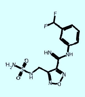 N=C(Nc1cccc(C(F)F)c1)c1nonc1CNS(N)(=O)=O